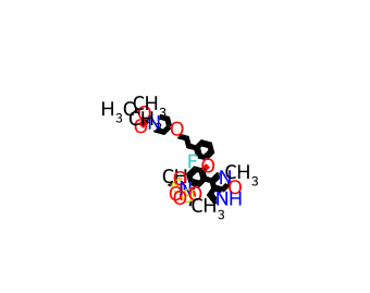 CCS(=O)(=O)N(c1ccc(Oc2cccc(CCCOC3CCN(C(=O)OC(C)(C)C)CC3)c2F)c(-c2cn(C)c(=O)c3[nH]ccc23)c1)S(=O)(=O)CC